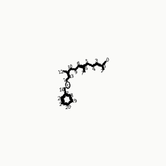 CC(C)=CCC/C(C)=C/CC/C(C)=C/COCc1ccccc1